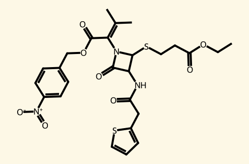 CCOC(=O)CCSC1C(NC(=O)Cc2cccs2)C(=O)N1C(C(=O)OCc1ccc([N+](=O)[O-])cc1)=C(C)C